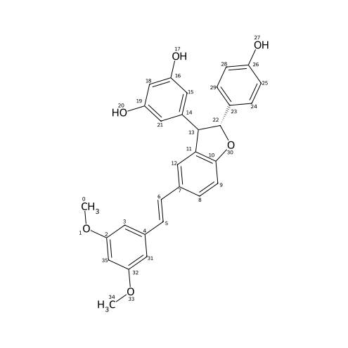 COc1cc(/C=C/c2ccc3c(c2)C(c2cc(O)cc(O)c2)[C@H](c2ccc(O)cc2)O3)cc(OC)c1